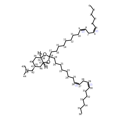 CCCCC/C=C\C/C=C\CCCCCCCCC1(CCCCCCC/C=C\C/C=C\CCCCCC)O[C@H]2CC[C@H](CN(C)C)C[C@H]2O1